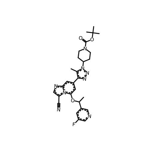 Cc1c(-c2cc(OC(C)c3cncc(F)c3)n3c(C#N)cnc3c2)nnn1C1CCN(C(=O)OC(C)(C)C)CC1